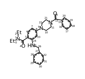 CCN(CC)C(=O)c1ccc(N2CCN(C(=O)c3ccccc3)CC2)cc1NCc1ccccc1